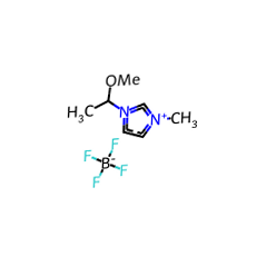 COC(C)n1cc[n+](C)c1.F[B-](F)(F)F